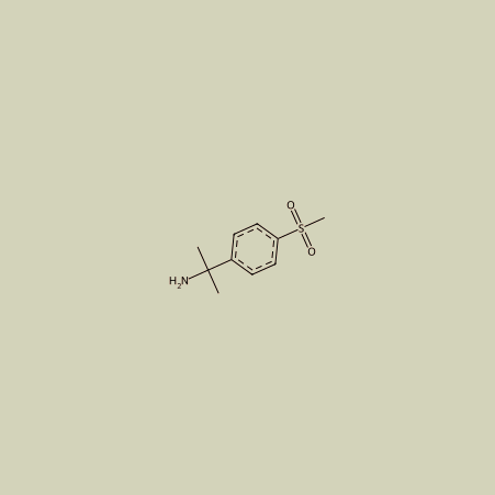 CC(C)(N)c1ccc(S(C)(=O)=O)cc1